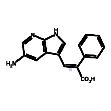 Nc1cnc2[nH]cc(/C=C(/C(=O)O)c3ccccc3)c2c1